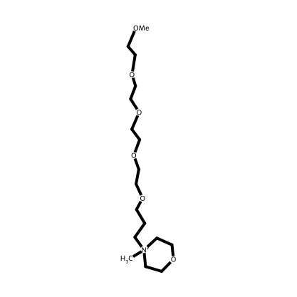 COCCOCCOCCOCCOCCC[N+]1(C)CCOCC1